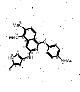 COc1ccc2c(Oc3ccc(NC(C)=O)cc3)nc(Nc3cc(C)[nH]n3)cc2c1OC